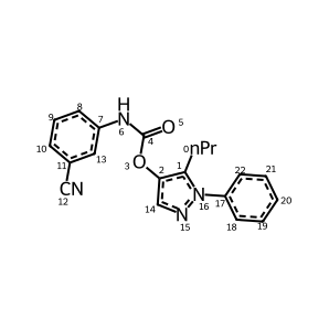 CCCc1c(OC(=O)Nc2cccc(C#N)c2)cnn1-c1ccccc1